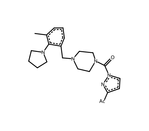 CC(=O)c1ccn(C(=O)N2CCN(Cc3cccc(C)c3N3CCCC3)CC2)n1